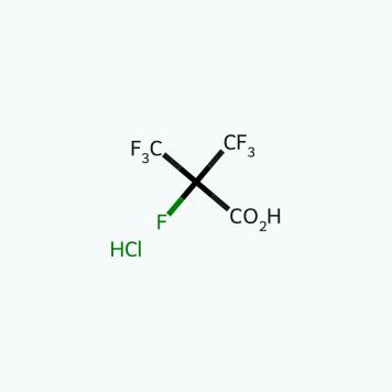 Cl.O=C(O)C(F)(C(F)(F)F)C(F)(F)F